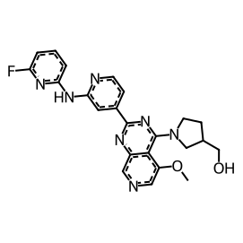 COc1cncc2nc(-c3ccnc(Nc4cccc(F)n4)c3)nc(N3CCC(CO)C3)c12